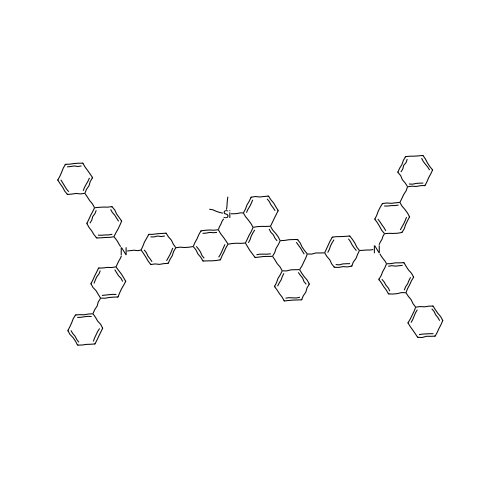 C[Si]1(C)c2cc(-c3ccc(N(c4ccc(-c5ccccc5)cc4)c4ccc(-c5ccccc5)cc4)cc3)ccc2-c2cc3c4ccccc4c(-c4ccc(N(c5ccc(-c6ccccc6)cc5)c5ccc(-c6ccccc6)cc5)cc4)cc3c3cccc1c23